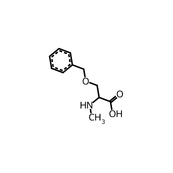 CNC(COCc1ccccc1)C(=O)O